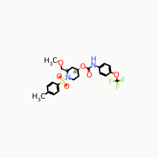 COC[C@H]1C[C@H](OC(=O)Nc2ccc(OC(F)(F)F)cc2)CCN1S(=O)(=O)c1ccc(C)cc1